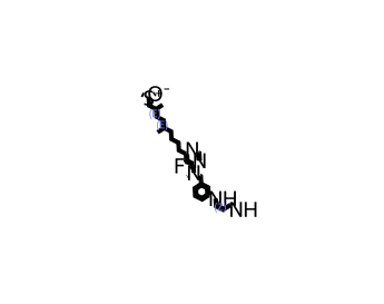 C/C(=C\C=C(/C)C[S+](C)[O-])CCCCc1ncnc(N(C)Cc2cccc(N/C=C\C=N)c2)c1F